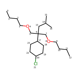 CCCCOCC(COCCCC)(CC(C)C)C1CCC(Cl)CC1